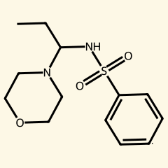 CCC(NS(=O)(=O)c1cc[c]cc1)N1CCOCC1